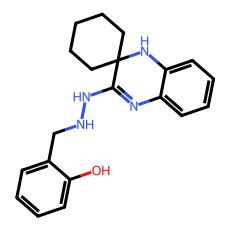 Oc1ccccc1CNNC1=Nc2ccccc2NC12CCCCC2